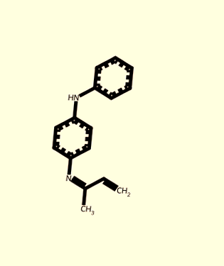 C=C/C(C)=N\c1ccc(Nc2ccccc2)cc1